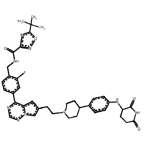 CC(C)(C)c1nc(C(=O)NCc2ccc(-c3ncnn4cc(CCN5CCC(c6ccc(NC7CCC(=O)NC7=O)cc6)CC5)cc34)cc2F)no1